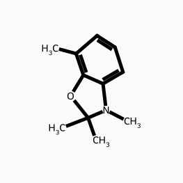 Cc1cccc2c1OC(C)(C)N2C